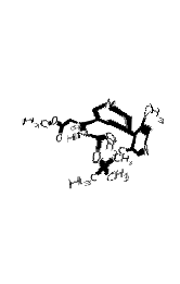 COC(=O)C[C@H](NC(=O)OC(C)(C)C)c1cncc(-c2c(C)cncc2C)c1